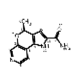 CC1Oc2cnccc2-c2[nH]c(C(N)=O)cc21